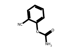 N#Cc1ccccc1OC(N)=O